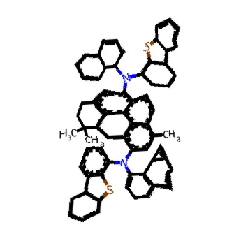 Cc1cc(N(C2=CCCC3=C2C2C=C2C=C3)c2cccc3c2SC2C=CCCC32)c2c3c1ccc1c(N(C4CC=CC5CCC=CC54)C4CCCC5C6C=CC=CC6SC54)cc4c(c13)C(C2)C(C)(C)CC4